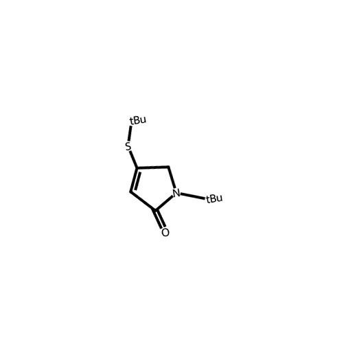 CC(C)(C)SC1=CC(=O)N(C(C)(C)C)C1